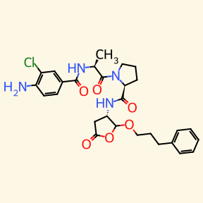 C[C@H](NC(=O)c1ccc(N)c(Cl)c1)C(=O)N1CCC[C@H]1C(=O)N[C@H]1CC(=O)OC1OCCCc1ccccc1